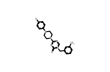 O=c1nc(N2CCN(c3ccc(F)cc3)CC2)ncn1Cc1cccc(C(F)(F)F)c1